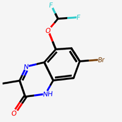 Cc1nc2c(OC(F)F)cc(Br)cc2[nH]c1=O